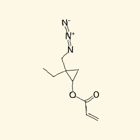 C=CC(=O)OC1CC1(CC)CN=[N+]=[N-]